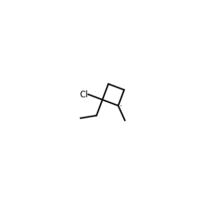 CCC1(Cl)CC[C]1C